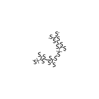 CSC1=C(SC)SC(=C2SC(SC)=C(C(C)(C)SCSC3=C(SC)S/C(=C4/SC(SC)=C(C(C)(C)SC)S4)S3)S2)S1